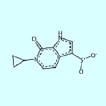 O=c1c2[nH]cc([S+]([O-])Cl)c2ccn1C1CC1